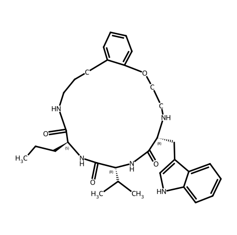 CCC[C@@H]1NC(=O)[C@@H](C(C)C)NC(=O)[C@@H](Cc2c[nH]c3ccccc23)NCCOc2ccccc2CCCNC1=O